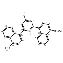 COc1ccc(-c2nc(Cl)nc(-c3ccc(O)c4ccccc34)n2)c2ccccc12